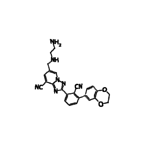 N#Cc1c(-c2ccc3c(c2)OCCO3)cccc1-c1nc2c(C#N)cc(CNCCN)cn2n1